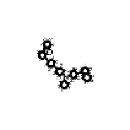 c1ccc(N(c2ccc(-c3ccc(-c4cccc5c4oc4ccccc45)cc3)cc2)c2ccc(-c3cccc4ccccc34)cc2)cc1